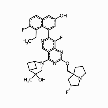 CCc1c(F)ccc2cc(O)cc(-c3ncc4c(N5CC(C)(O)C6CC5C6)nc(OC[C@@]56CCCN5C[C@H](F)C6)nc4c3F)c12